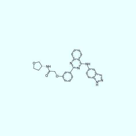 O=C(COc1cccc(-c2nc(Nc3ccc4[nH]ncc4c3)c3ccccc3n2)c1)N[C@@H]1CCOC1